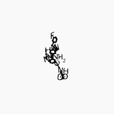 CS(=O)(=O)CCNCCCOc1ccc2c(c1)C(N)(c1ccc3c(cnn3Cc3cccc(F)c3)c1)NC=N2